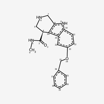 CNC(=O)[C@H]1CNCc2[nH]c3ccc(OCc4ccccc4)cc3c21